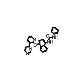 O=C(Nc1ccccc1)Nc1ccc(Oc2ncccc2-c2ccncn2)c2ccccc12